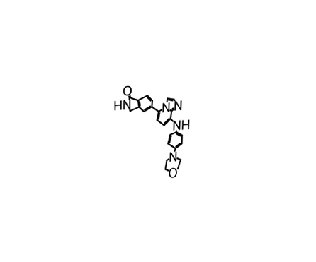 O=C1NCc2cc(-c3ccc(Nc4ccc(N5CCOCC5)cc4)c4nccn34)ccc21